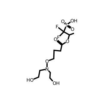 CC(OC(=O)CCCON(CCO)CCO)C(F)(F)S(=O)(=O)O